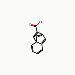 O=C(O)C1=CC23C=CC=CC2=CC1=C3